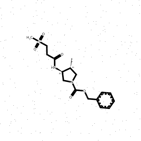 CS(=O)(=O)CCC(=O)N[C@@H]1CN(C(=O)OCc2ccccc2)C[C@H]1F